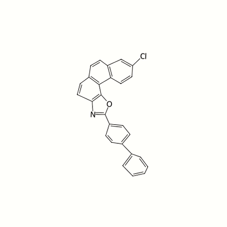 Clc1ccc2c(ccc3ccc4nc(-c5ccc(-c6ccccc6)cc5)oc4c32)c1